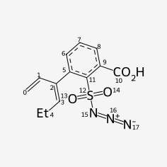 C=CC(=CCC)c1cccc(C(=O)O)c1S(=O)(=O)N=[N+]=[N-]